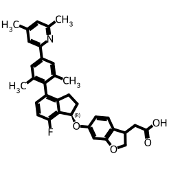 Cc1cc(C)nc(-c2cc(C)c(-c3ccc(F)c4c3CC[C@H]4Oc3ccc4c(c3)OCC4CC(=O)O)c(C)c2)c1